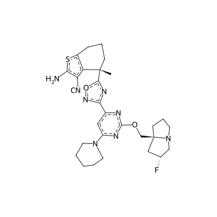 C[C@]1(c2nc(-c3cc(N4CCCCC4)nc(OC[C@@]45CCCN4C[C@H](F)C5)n3)no2)CCCc2sc(N)c(C#N)c21